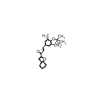 Cc1cc(/C=C/C(=O)c2cc3ccccc3o2)cc(C)c1OC(C)(C)C